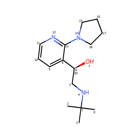 CC(C)(C)NC[C@H](O)c1cccnc1N1CCCC1